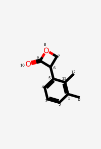 Cc1cccc(C2COC2=O)c1C